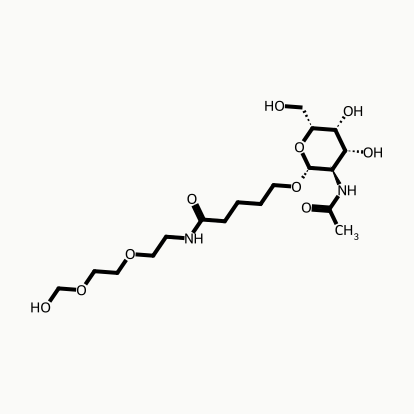 CC(=O)N[C@H]1[C@H](OCCCCC(=O)NCCOCCOCO)O[C@H](CO)[C@H](O)[C@@H]1O